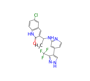 CC(Nc1cc(-c2c[nH]nc2C(F)(F)F)ccn1)c1cc2cc(Cl)ccc2[nH]c1=O